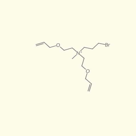 C=CCOCC[N+](C)(CCCBr)CCOCC=C